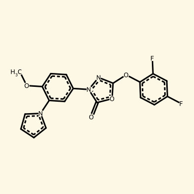 COc1ccc(-n2nc(Oc3ccc(F)cc3F)oc2=O)cc1-n1cccc1